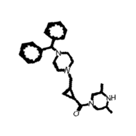 CC1CN(C(=O)C2CC2CN2CCN(C(c3ccccc3)c3ccccc3)CC2)CC(C)N1